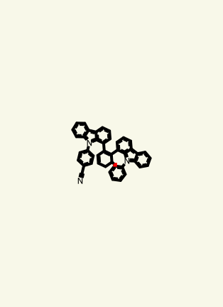 CC1CC=CC(c2cccc3c4ccccc4n(-c4ccc(C#N)cc4)c23)=C1c1cccc2c3ccccc3n(-c3ccccc3)c12